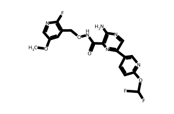 COc1cnc(F)c(CONC(=O)c2nc(-c3ccc(OC(F)F)nc3)cnc2N)c1